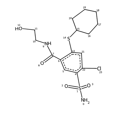 NS(=O)(=O)c1cc(C(=O)NCCO)c(SC2CCCCC2)cc1Cl